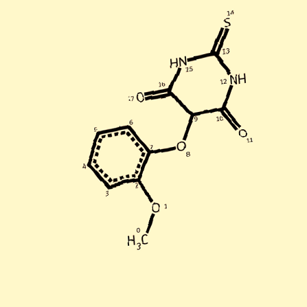 COc1ccccc1OC1C(=O)NC(=S)NC1=O